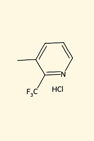 Cc1cccnc1C(F)(F)F.Cl